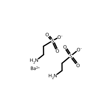 NCCS(=O)(=O)[O-].NCCS(=O)(=O)[O-].[Ba+2]